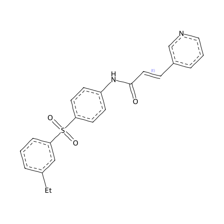 CCc1cccc(S(=O)(=O)c2ccc(NC(=O)/C=C/c3cccnc3)cc2)c1